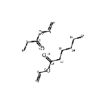 C=COC(=O)CC.C=COC(=O)CCCCC